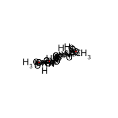 COc1ccc(C(=O)NCCc2ccc(S(=O)(=O)NC(=O)c3ccc(OC(=O)NCCOC(C)=O)nc3)cc2)cc1OC